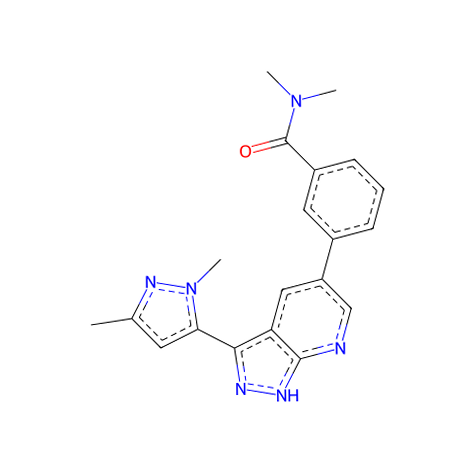 Cc1cc(-c2n[nH]c3ncc(-c4cccc(C(=O)N(C)C)c4)cc23)n(C)n1